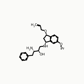 C=CCO[C@@H]1C[C@H](NC[C@@H](O)[C@@H](N)Cc2ccccc2)c2cc(OC(C)C)ccc21